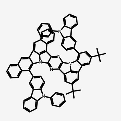 CC(C)(C)c1cc(-c2ccc3c(c2)c2ccccc2n3-c2ccccc2)c2c(c1)c1cc(C(C)(C)C)cc3c4nc5c(nc4n2c13)c1c2ccccc2cc2c3cc4ccccc4c(-c4ccc6c(c4)c4ccccc4n6-c4ccccc4)c3n5c21